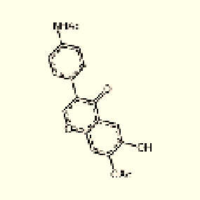 CC(=O)Nc1ccc(-c2coc3cc(OC(C)=O)c(O)cc3c2=O)cc1